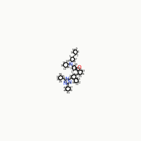 c1ccc(-c2ccc(N(c3ccccc3)c3ccc4c(c3)oc3cccc(-c5ccc(-c6nc(-c7ccccc7)nc(-c7ccccc7)n6)c6ccccc56)c34)cc2)cc1